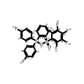 O=S(=O)(OS(c1ccccc1)(c1ccc(F)cc1)c1ccc(F)cc1)c1c(F)c(F)c(F)c(F)c1F